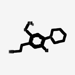 COc1cc(N2CCCCC2)c(Cl)cc1CCO